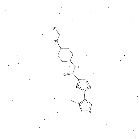 Cn1cncc1-c1nc(C(=O)NC2CCC(NCC(F)(F)F)CC2)cs1